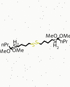 CCCC(OC)(OC)[SiH2]CCCCSSCCCC[SiH2]C(CCC)(OC)OC